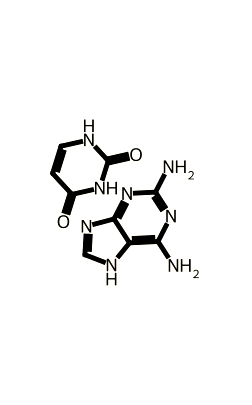 Nc1nc(N)c2[nH]cnc2n1.O=c1cc[nH]c(=O)[nH]1